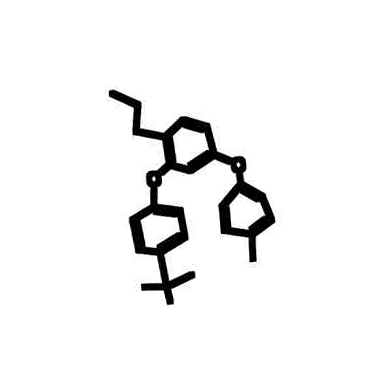 CCCc1ccc(Oc2ccc(C)cc2)cc1Oc1ccc(C(C)(C)C)cc1